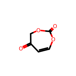 O=C1C=COC(=O)OC1